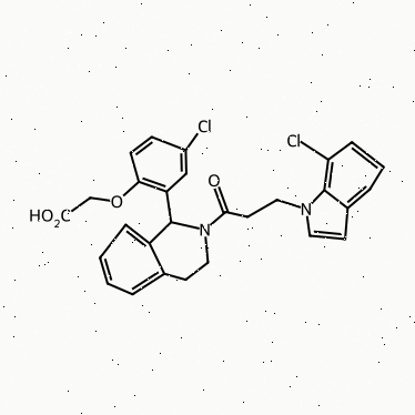 O=C(O)COc1ccc(Cl)cc1C1c2ccccc2CCN1C(=O)CCn1ccc2cccc(Cl)c21